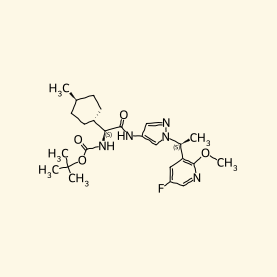 COc1ncc(F)cc1[C@H](C)n1cc(NC(=O)[C@@H](NC(=O)OC(C)(C)C)[C@H]2CC[C@H](C)CC2)cn1